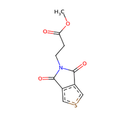 COC(=O)CCN1C(=O)c2cscc2C1=O